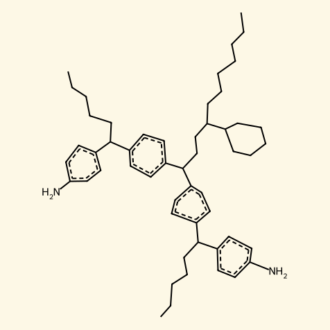 CCCCCCCC(CCC(c1ccc(C(CCCCC)c2ccc(N)cc2)cc1)c1ccc(C(CCCCC)c2ccc(N)cc2)cc1)C1CCCCC1